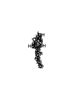 Brc1ccccc1.C#C[C@]1(O)CC[C@H]2[C@@H]3CCc4cc(O)ccc4[C@H]3CC[C@@]21C.CCc1c2c(nc3ccc(OC(=O)N4CCC(N5CCCCC5)CC4)cc13)-c1cc3c(c(=O)n1C2)COC(=O)[C@]3(O)CC